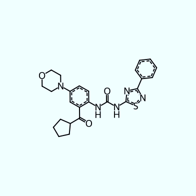 O=C(Nc1nc(-c2ccccc2)ns1)Nc1ccc(N2CCOCC2)cc1C(=O)C1CCCC1